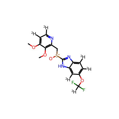 [2H]c1nc(C[S+]([O-])c2nc3c([2H])c([2H])c(OC([2H])(F)F)c([2H])c3[nH]2)c(OC)c(OC)c1[2H]